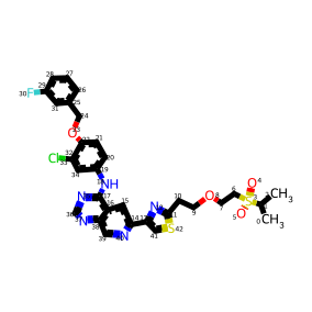 CC(C)S(=O)(=O)CCOCCc1nc(-c2cc3c(Nc4ccc(OCc5cccc(F)c5)c(Cl)c4)ncnc3cn2)cs1